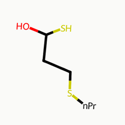 CCCSCCC(O)S